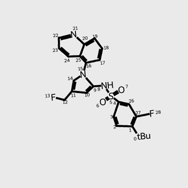 CC(C)(C)c1ccc(S(=O)(=O)Nc2cc(CF)cn2-c2cccc3ncccc23)cc1F